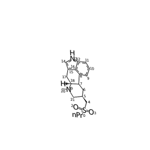 [CH2]CCS(=O)(=O)C[C@@H]1CC2c3cccc4[nH]cc(c34)C[C@H]2N(C)C1